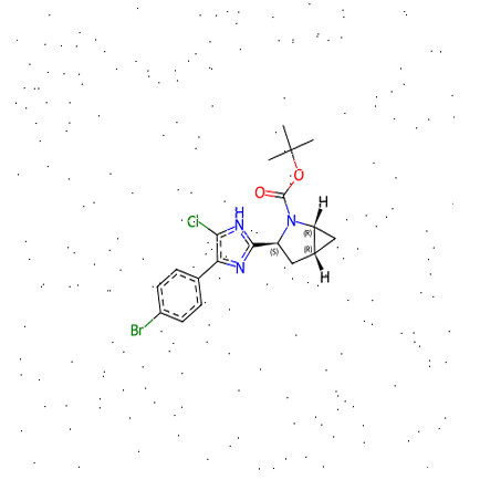 CC(C)(C)OC(=O)N1[C@@H]2C[C@@H]2C[C@H]1c1nc(-c2ccc(Br)cc2)c(Cl)[nH]1